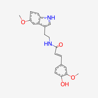 COc1ccc2[nH]cc(CCNC(=O)/C=C/c3ccc(O)c(OC)c3)c2c1